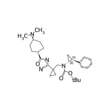 CN(C)[C@H]1CC[C@@H](c2nc(C3(CN(C(=O)OC(C)(C)C)[C@@H]4C[C@H]4c4ccccc4)CC3)no2)CC1